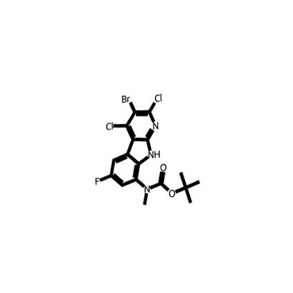 CN(C(=O)OC(C)(C)C)c1cc(F)cc2c1[nH]c1nc(Cl)c(Br)c(Cl)c12